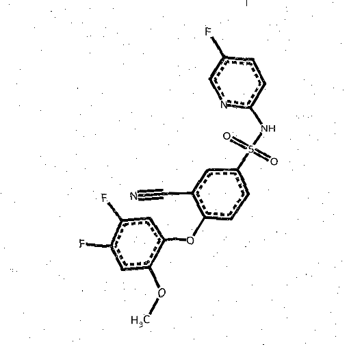 COc1cc(F)c(F)cc1Oc1ccc(S(=O)(=O)Nc2ccc(F)cn2)cc1C#N